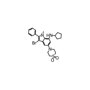 Cn1c(-c2ccccc2)c(Br)c2cc(N3CCS(=O)(=O)CC3)cc(NC3CCCC3)c21